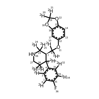 [2H]c1c([2H])c(C2([2H])[C@H](C([2H])([2H])Oc3ccc4c(c3)OC([2H])([2H])O4)C([2H])([2H])NCC2([2H])[2H])c([2H])c([2H])c1F